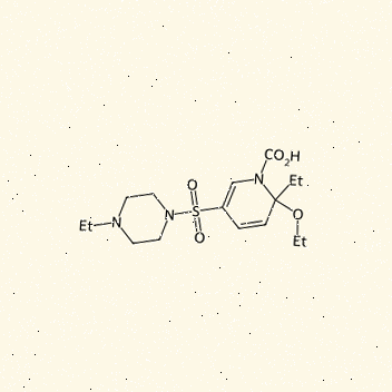 CCOC1(CC)C=CC(S(=O)(=O)N2CCN(CC)CC2)=CN1C(=O)O